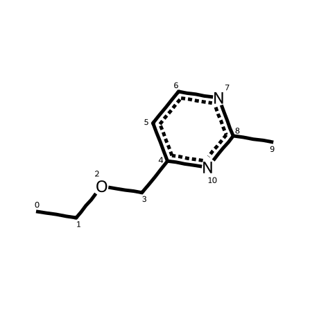 CCOCc1ccnc(C)n1